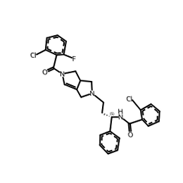 O=C(N[C@@H](CCN1CC2=CN(C(=O)c3c(F)cccc3Cl)CC2C1)c1ccccc1)c1ccccc1Cl